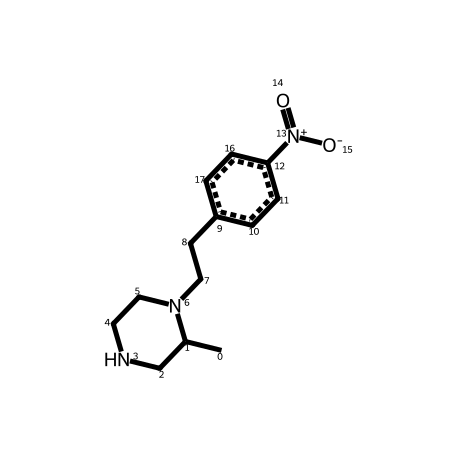 CC1CNCCN1CCc1ccc([N+](=O)[O-])cc1